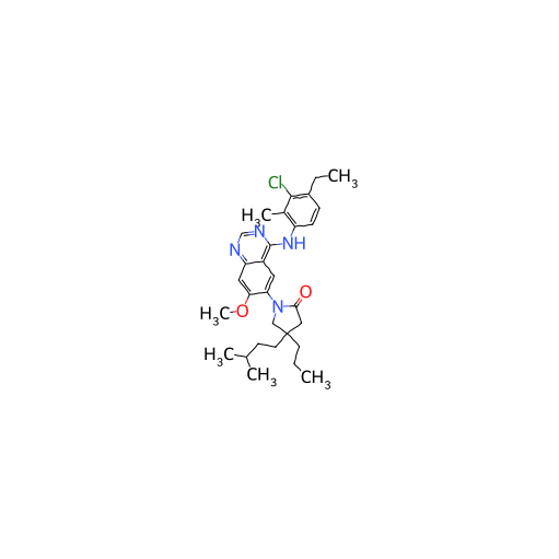 CCCC1(CCC(C)C)CC(=O)N(c2cc3c(Nc4ccc(CC)c(Cl)c4C)ncnc3cc2OC)C1